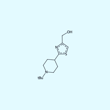 CC(C)(C)N1CCC(c2nc(CO)cs2)CC1